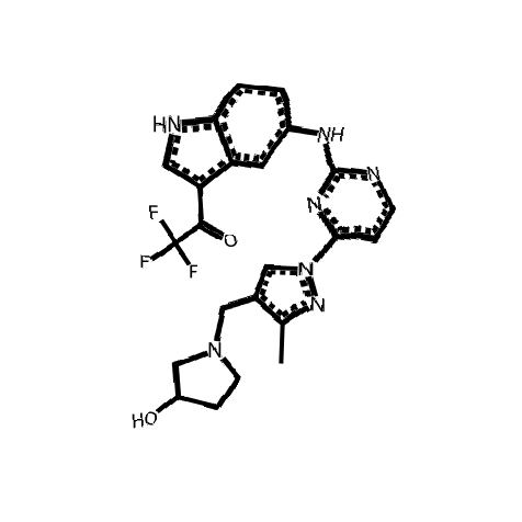 Cc1nn(-c2ccnc(Nc3ccc4[nH]cc(C(=O)C(F)(F)F)c4c3)n2)cc1CN1CCC(O)C1